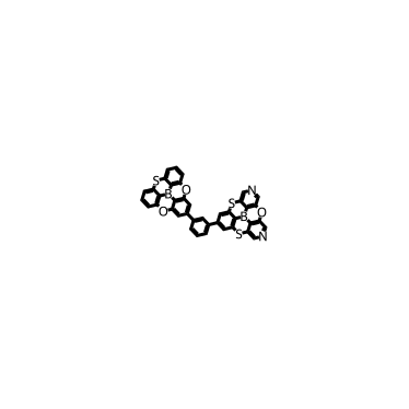 c1cc(-c2cc3c4c(c2)Oc2cccc5c2B4c2c(cccc2S5)O3)cc(-c2cc3c4c(c2)Sc2cncc5c2B4c2c(cncc2S3)O5)c1